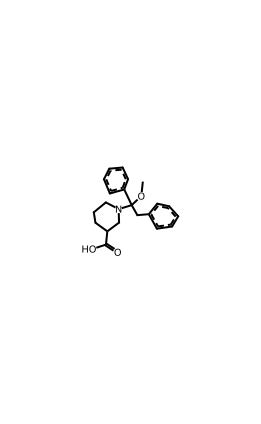 COC(Cc1ccccc1)(c1ccccc1)N1CCCC(C(=O)O)C1